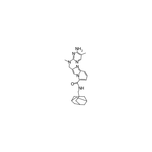 Cc1cnc(N(C)Cc2cn3c(C(=O)NCC45CC6CC(CC(C6)C4)C5)cccc3n2)nc1N